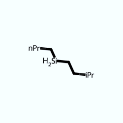 CCCC[SiH2]CCC(C)C